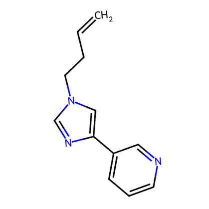 C=CCCn1cnc(-c2cccnc2)c1